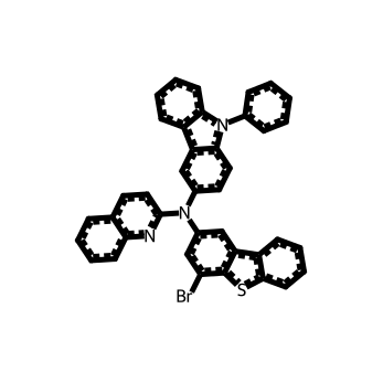 Brc1cc(N(c2ccc3c(c2)c2ccccc2n3-c2ccccc2)c2ccc3ccccc3n2)cc2c1sc1ccccc12